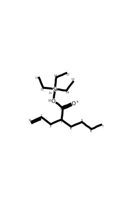 C=CCC(CCCC)C(=O)O[Si](CC)(CC)CC